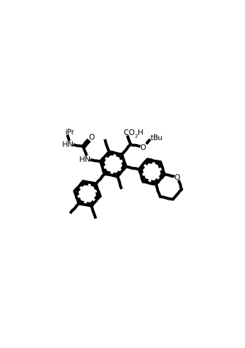 Cc1ccc(-c2c(C)c(-c3ccc4c(c3)CCCO4)c(C(OC(C)(C)C)C(=O)O)c(C)c2NC(=O)NC(C)C)cc1C